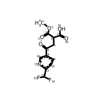 COC(=O)C(CC(=O)c1ccc(C(F)F)nc1)C(=O)O